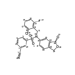 N#Cc1cccc(S(=O)(=O)N(Cc2c(F)cccc2Cl)c2ccc3c(c2)C(=O)OC3)c1